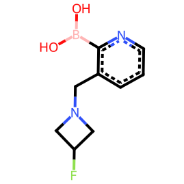 OB(O)c1ncccc1CN1CC(F)C1